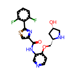 O=C(Nc1cnccc1OC[C@@H]1C[C@H](O)CN1)c1csc(-c2c(F)cccc2F)n1